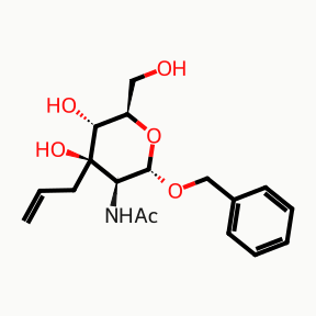 C=CC[C@]1(O)[C@H](O)[C@@H](CO)O[C@H](OCc2ccccc2)[C@H]1NC(C)=O